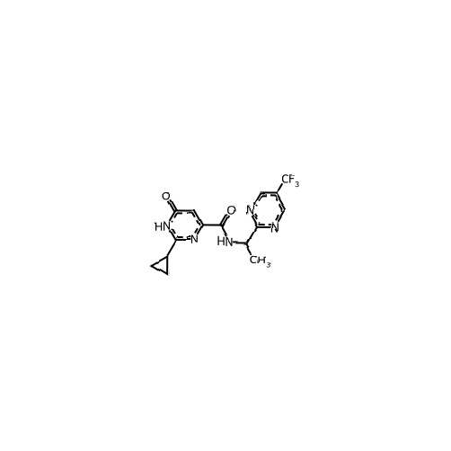 CC(NC(=O)c1cc(=O)[nH]c(C2CC2)n1)c1ncc(C(F)(F)F)cn1